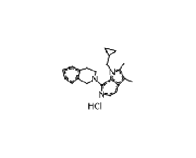 Cc1c(C)n(CC2CC2)c2c(N3CCc4ccccc4C3)nccc12.Cl